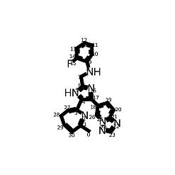 CC1=NC(c2[nH]c(CNc3ccccc3F)nc2-c2ccc3ncnn3c2)=CCC=C1